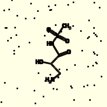 CS(=O)(=O)NC(=O)C(O)CN